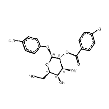 O=C(O[C@H]1[C@H](Oc2ccc([N+](=O)[O-])cc2)O[C@H](CO)[C@H](O)[C@@H]1O)c1ccc(Cl)cc1